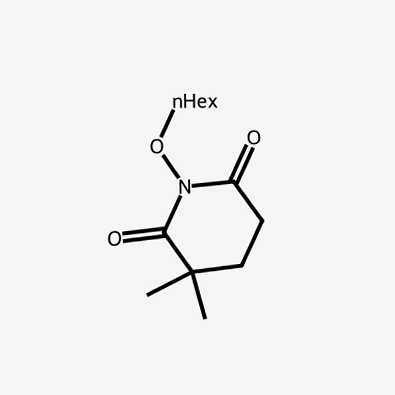 CCCCCCON1C(=O)CCC(C)(C)C1=O